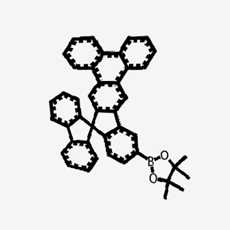 CC1(C)OB(c2ccc3c(c2)-c2cc4c5ccccc5c5ccccc5c4cc2C32c3ccccc3-c3ccccc32)OC1(C)C